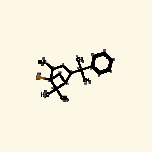 CC1CC([Si](C)(C)c2ccccc2)C2CC1(Br)C2(C)C